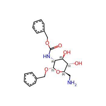 NC[C@H]1O[C@H](OCc2ccccc2)[C@H](NC(=O)OCc2ccccc2)[C@@H](O)[C@@H]1O